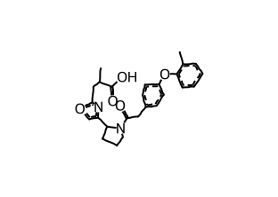 Cc1ccccc1Oc1ccc(CC(=O)N2CCCC2c2coc(CC(C)C(=O)O)n2)cc1